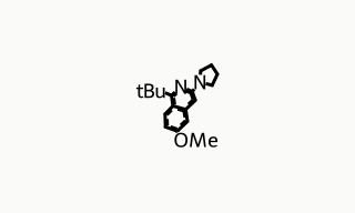 COc1ccc2c(C(C)(C)C)nc(N3CCCC3)cc2c1